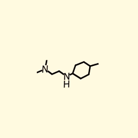 CC1CCC(NCCN(C)C)CC1